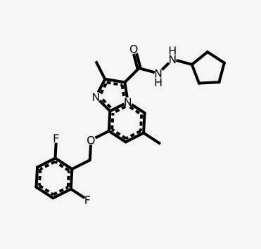 Cc1cc(OCc2c(F)cccc2F)c2nc(C)c(C(=O)NNC3CCCC3)n2c1